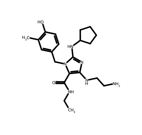 CCNC(=O)c1c(NCCN)nc(NC2CCCC2)n1Cc1ccc(O)c(C)c1